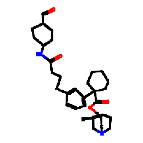 O=CC1CCC(NC(=O)CCCc2cccc(C3(C(=O)O[C@H]4CN5CCC4CC5)CCCCC3)c2)CC1